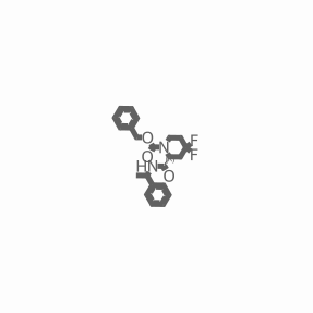 CC(NC(=O)[C@H]1CC(F)(F)CCN1C(=O)OCc1ccccc1)c1ccccc1